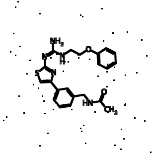 CC(=O)NCc1cccc(-c2csc(N=C(N)NCCOc3ccccc3)n2)c1